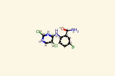 NC(=O)c1cc(F)ccc1Nc1nc(Cl)ncc1Cl